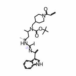 C=CC(=O)N1CCC(CN(C(=O)OC(C)(C)C)C(C)C[C@@H](C)N/C(I)=N/C(=C)c2c[nH]c3ccccc23)CC1